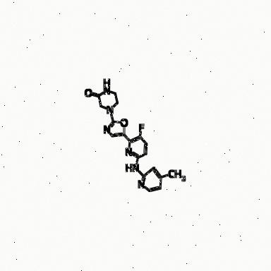 Cc1ccnc(Nc2ccc(F)c(-c3cnc(N4CCNC(=O)C4)o3)n2)c1